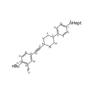 CCCCCCCc1ccc(C2CCC(C#Cc3ccc(CCCC)c(F)c3)CC2)cc1